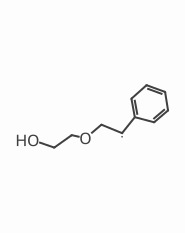 OCCOC[CH]c1ccccc1